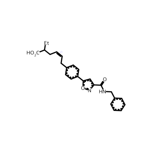 CCC(C/C=C\Cc1ccc(-c2cc(C(=O)NCc3ccccc3)no2)cc1)C(=O)O